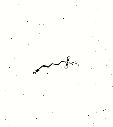 CS(=O)(=O)CCCC=CC#N